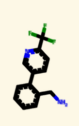 NCc1ccccc1-c1ccc(C(F)(F)F)nc1